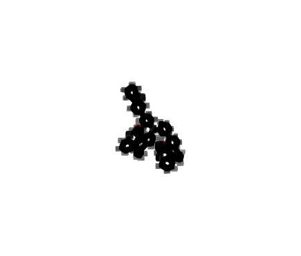 c1cc(-c2ccc3c(c2)C2(c4ccccc4Oc4ccccc42)c2ccccc2-3)cc(N(c2ccc(-c3ccc4c(c3)oc3ccccc34)cc2)c2ccc3c(c2)C2(c4ccccc4Oc4ccccc42)c2ccccc2-3)c1